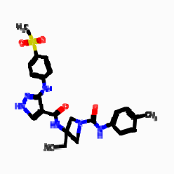 Cc1ccc(NC(=O)N2CC(CC#N)(NC(=O)c3c[nH]nc3Nc3ccc(S(C)(=O)=O)cc3)C2)cc1